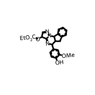 CCOC(=O)OC1C=NN2C1=NC(c1ccc(O)c(OC)c1)C1Cc3ccccc3C12